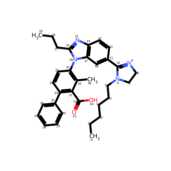 CCCCCCN1CCN=C1c1ccc2nc(CCC)n(-c3ccc(-c4ccccc4)c(C(=O)O)c3C)c2c1